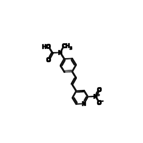 CN(C(=O)O)c1ccc(/C=C/c2ccnc([N+](=O)[O-])c2)cc1